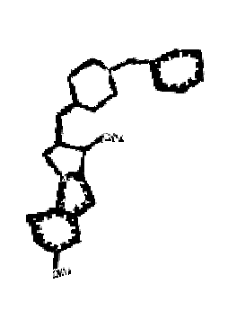 COc1ccc2c(c1)cc1n2CC(CC2CCN(Cc3ccccc3)CC2)C1OC(C)=O